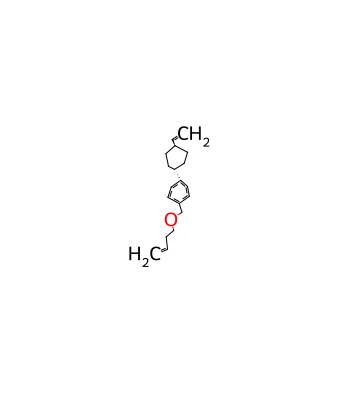 C=CCCOCc1ccc([C@H]2CC[C@H](C=C)CC2)cc1